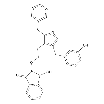 O=C1c2ccccc2C(O)N1OCCc1c(Cc2ccccc2)ncn1Cc1cccc(O)c1